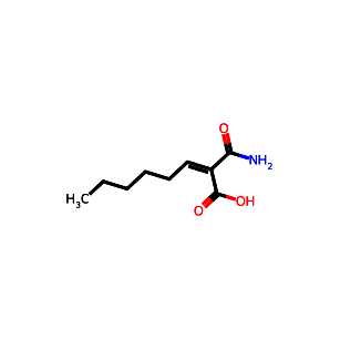 CCCCCC=C(C(N)=O)C(=O)O